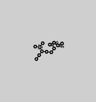 c1ccc(-c2ccc(-c3cc(-c4ccc(-c5cccc(-c6cccc(-n7c8ccccc8c8ccc9oc%10c(ccc%11[nH]c%12ccccc%12c%11%10)c9c87)c6)c5)cc4)cc(-c4nc(-c5ccccc5)nc(-c5ccccc5)n4)c3)cc2)cc1